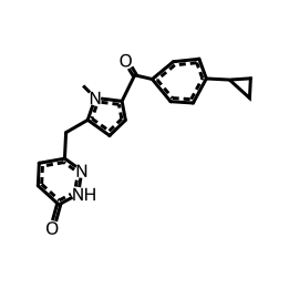 Cn1c(Cc2ccc(=O)[nH]n2)ccc1C(=O)c1ccc(C2CC2)cc1